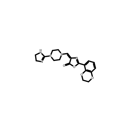 O=C1OC(c2cccc3c2OCCO3)=N/C1=C/N1CCN(C2=NCCN2)CC1